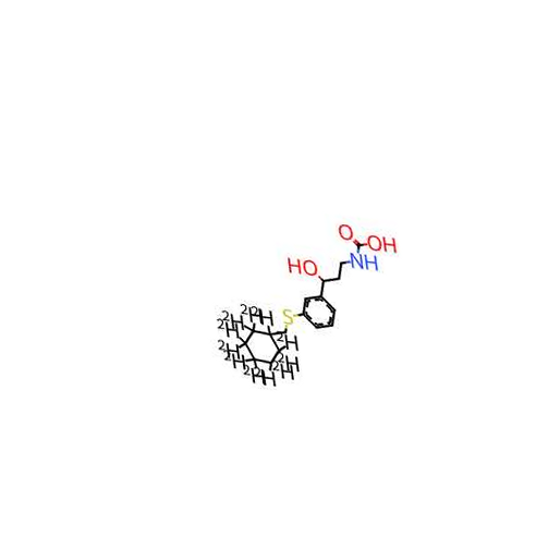 [2H]C1([2H])C([2H])([2H])C([2H])([2H])C([2H])(CSc2cccc(C(O)CCNC(=O)O)c2)C([2H])([2H])C1([2H])[2H]